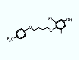 CCc1cc(O)cc(C)c1OCCCCOc1ccc(C(F)(F)F)cc1